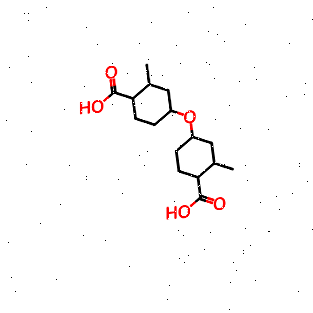 CC1CC(OC2CCC(C(=O)O)C(C)C2)CCC1C(=O)O